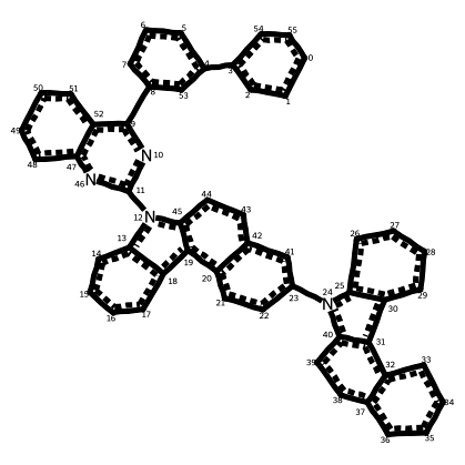 c1ccc(-c2cccc(-c3nc(-n4c5ccccc5c5c6ccc(-n7c8ccccc8c8c9ccccc9ccc87)cc6ccc54)nc4ccccc34)c2)cc1